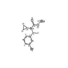 CC(c1cccc(Br)c1)N(C(=O)OC(C)(C)C)C1CC1